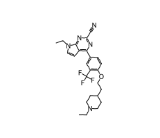 CCN1CCC(CCOc2ccc(-c3nc(C#N)nc4c3ccn4CC)cc2C(F)(F)F)CC1